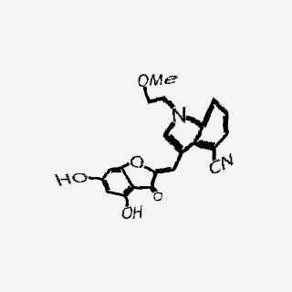 COCCn1cc(C=C2Oc3cc(O)cc(O)c3C2=O)c2c(C#N)cccc21